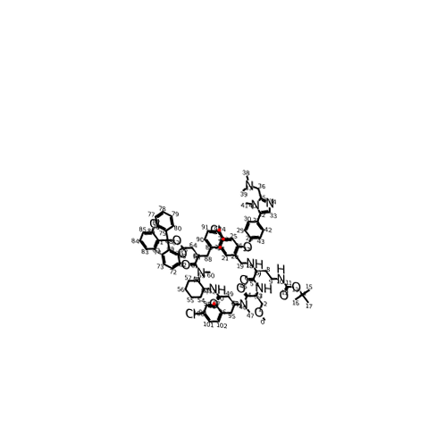 COC[C@H](NC(=O)[C@H](CCNC(=O)OC(C)(C)C)NCc1ccc(Cl)cc1Oc1ccc(-c2cnc(CN(C)C)n2C)cc1)C(=O)N(C)[C@H](CC(=O)N[C@H]1CCCC[C@@H]1N(C)C(=O)[C@@H](CC(=O)OC(c1ccccc1)(c1ccccc1)c1ccccc1Cl)Cc1ccccc1)Cc1ccc(Cl)cc1